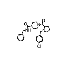 O=C(NCc1ccccc1)C1CCN(C(=O)C2CCCN2Cc2ccc(Cl)cc2)CC1